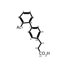 CC(=O)c1ccccc1-c1ccc(CCC(=O)O)cc1